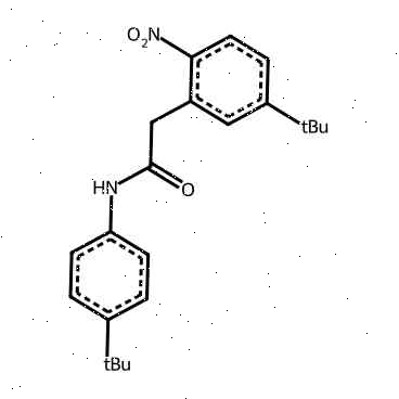 CC(C)(C)c1ccc(NC(=O)Cc2cc(C(C)(C)C)ccc2[N+](=O)[O-])cc1